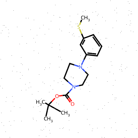 CSc1cccc(N2CCN(C(=O)OC(C)(C)C)CC2)c1